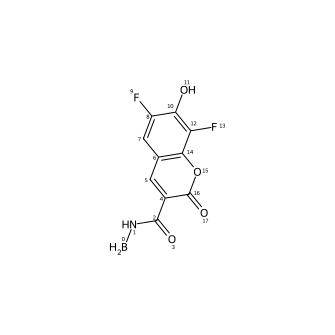 BNC(=O)c1cc2cc(F)c(O)c(F)c2oc1=O